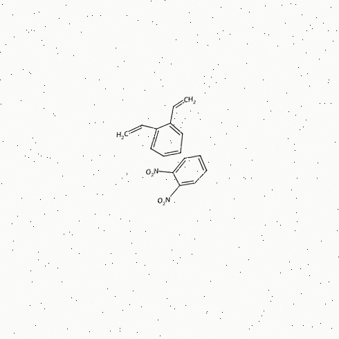 C=Cc1ccccc1C=C.O=[N+]([O-])c1ccccc1[N+](=O)[O-]